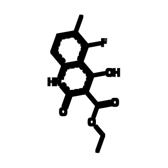 CCOC(=O)c1c(O)c2c(F)c(C)ccc2[nH]c1=O